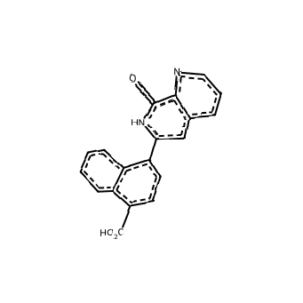 O=C(O)c1ccc(-c2cc3cccnc3c(=O)[nH]2)c2ccccc12